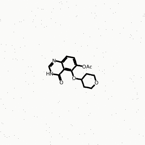 CC(=O)Oc1ccc2nc[nH]c(=O)c2c1OC1CCOCC1